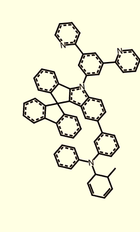 CC1C=CC=CC1N(c1ccccc1)c1cccc(-c2ccc3c(c2)c2c(n3-c3cc(-c4ccccn4)cc(-c4ccccn4)c3)-c3ccccc3C23c2ccccc2-c2ccccc23)c1